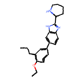 CCCc1cc(-c2ccc3nc(C4CCCCN4)[nH]c3c2)ccc1OCC